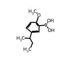 CCC(C)c1ccc(OC)c(B(O)O)c1